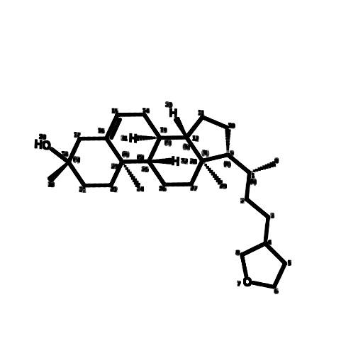 C[C@H](CCC1CCOC1)[C@H]1CC[C@H]2[C@@H]3CC=C4C[C@@](C)(O)CC[C@]4(C)[C@H]3CC[C@]12C